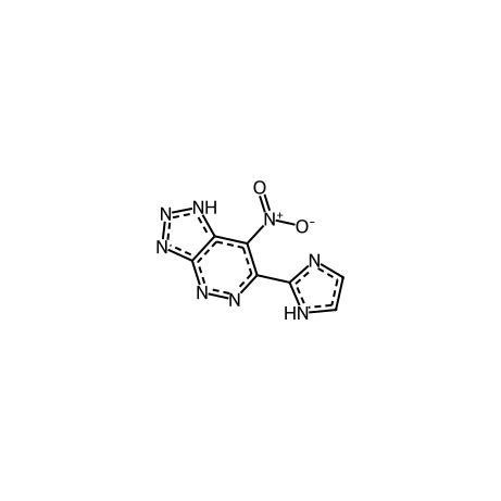 O=[N+]([O-])c1c(-c2ncc[nH]2)nnc2nn[nH]c12